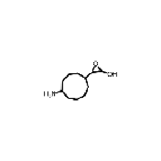 NC1CCCCC(C2OC2O)CCC1